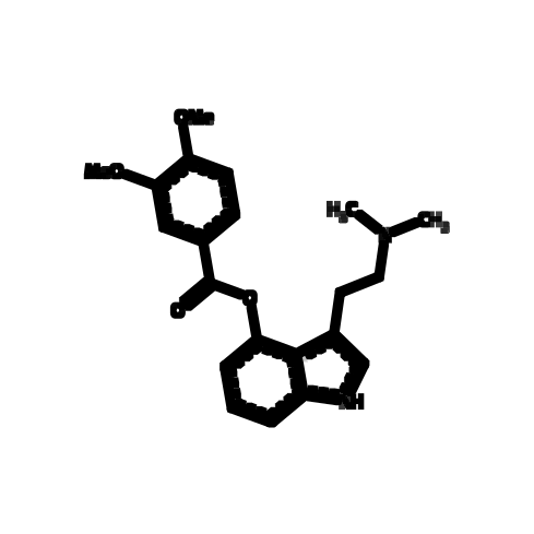 COc1ccc(C(=O)Oc2cccc3[nH]cc(CCN(C)C)c23)cc1OC